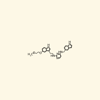 COCCOc1ccc2[nH]cc(CCNc3nccc(NCc4ccc5[nH]ccc5c4)n3)c2c1